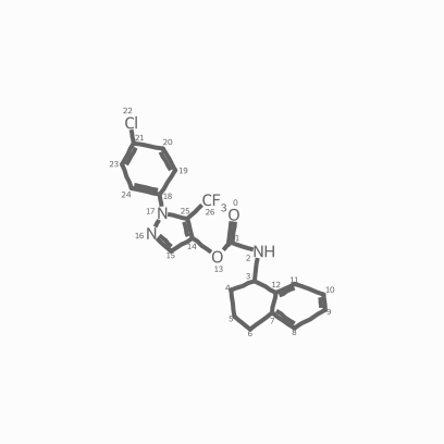 O=C(NC1CCCc2ccccc21)Oc1cnn(-c2ccc(Cl)cc2)c1C(F)(F)F